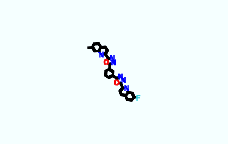 Cc1ccc2ccc(-c3nnc(-c4cccc(-c5nnc(-c6ccc7ccc(F)cc7n6)o5)c4)o3)nc2c1